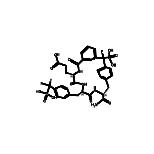 NC(=O)[C@@H](Cc1ccc(C(F)(F)P(=O)(O)O)cc1)NC(=O)[C@@H](Cc1ccc(C(F)(F)P(=O)(O)O)cc1)NC(=O)[C@@H](CCC(=O)O)NC(=O)c1ccccc1